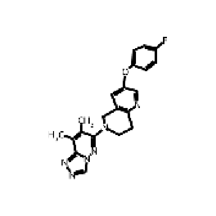 Cc1c(N2CCc3ncc(Oc4ccc(F)cc4)cc3C2)nn2cnnc2c1C